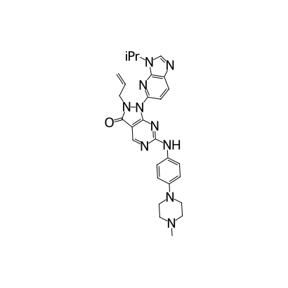 C=CCn1c(=O)c2cnc(Nc3ccc(N4CCN(C)CC4)cc3)nc2n1-c1ccc2ncn(C(C)C)c2n1